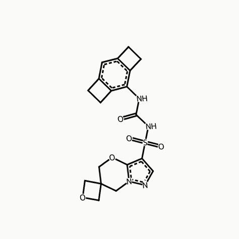 O=C(Nc1c2c(cc3c1CC3)CC2)NS(=O)(=O)c1cnn2c1OCC1(COC1)C2